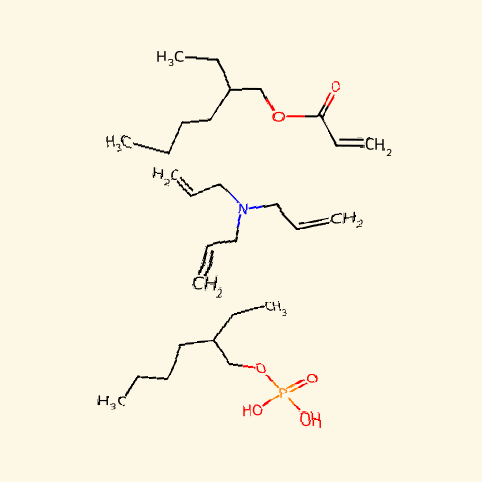 C=CC(=O)OCC(CC)CCCC.C=CCN(CC=C)CC=C.CCCCC(CC)COP(=O)(O)O